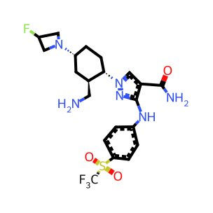 NC[C@H]1C[C@H](N2CC(F)C2)CC[C@@H]1n1cc(C(N)=O)c(Nc2ccc(S(=O)(=O)C(F)(F)F)cc2)n1